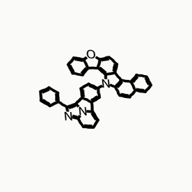 c1ccc(-c2nc3cccc4c5cc(-n6c7ccc8ccccc8c7c7ccc8oc9ccccc9c8c76)ccc5c2n34)cc1